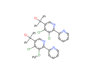 CC(C)[Si]([O-])(c1cnc(-c2ccccn2)c(Cl)c1Cl)C(C)C.CC(C)[Si]([O-])(c1cnc(-c2ccccn2)c(Cl)c1Cl)C(C)C.[Pd+2]